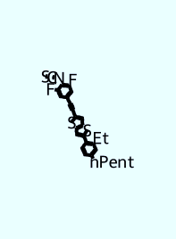 CCCCCc1ccc(-c2cc3sc(C#Cc4cc(F)c(N=C=S)c(F)c4)cc3s2)c(CC)c1